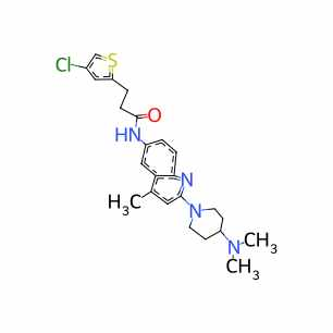 Cc1cc(N2CCC(N(C)C)CC2)nc2ccc(NC(=O)CCc3cc(Cl)cs3)cc12